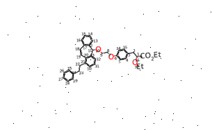 CCOC(=O)C(Cc1ccc(OCCOC2c3ccccc3C=Cc3c(CCc4ccccc4)cccc32)cc1)OCC